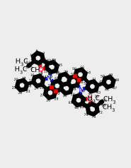 CC(C)(C)c1cccc2c1oc1c(N(c3ccc(-c4ccccc4)cc3-c3ccccc3)c3ccc4ccc5c(N(c6ccc(-c7ccccc7)cc6-c6ccccc6)c6cccc7c6oc6c(C(C)(C)C)cccc67)ccc6ccc3c4c65)cccc12